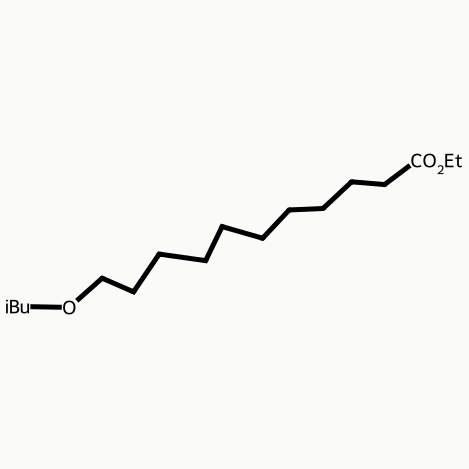 CCOC(=O)CCCCCCCCCCOC(C)CC